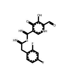 N=C(Cc1ccc(F)cc1F)SC(=N)c1c[nH]c(C=O)c(O)c1=O